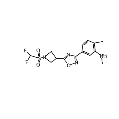 CNc1cc(-c2noc(C3CN(S(=O)(=O)C(F)F)C3)n2)ccc1C